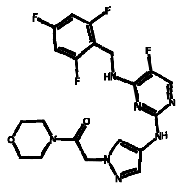 O=C(Cn1cc(Nc2ncc(F)c(NCc3c(F)cc(F)cc3F)n2)cn1)N1CCOCC1